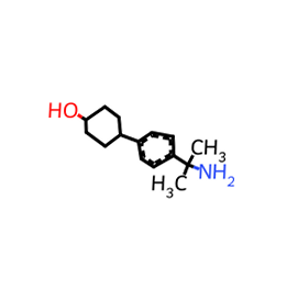 CC(C)(N)c1ccc(C2CCC(O)CC2)cc1